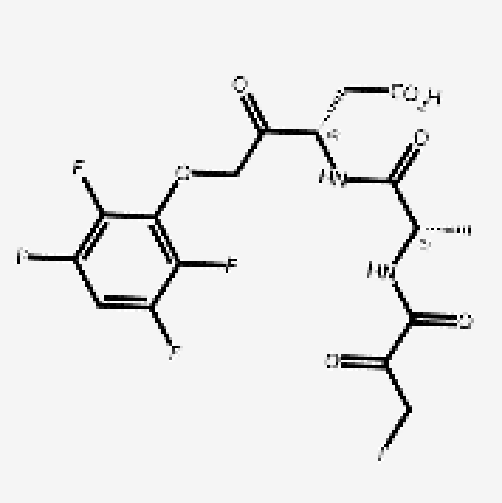 C[C@H](NC(=O)C(=O)CI)C(=O)N[C@@H](CC(=O)O)C(=O)COc1c(F)c(F)cc(F)c1F